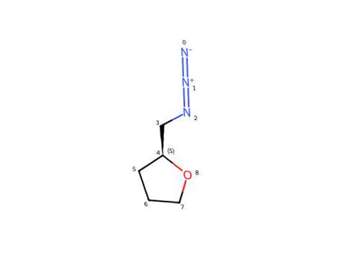 [N-]=[N+]=NC[C@@H]1CCCO1